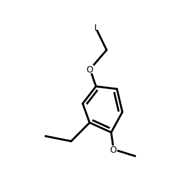 CCc1cc(OCI)ccc1OC